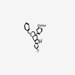 COc1cccc(C23CCN(Cc4ccccc4)CC2Cc2c([nH]c4cc(Cl)ccc24)C3)c1